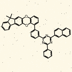 CC1(C)c2ccccc2-c2cc3c(cc21)Oc1cccc(-c2cccc(-c4nc(-c5ccccc5)nc(-c5ccc6ccccc6c5)n4)c2)c1O3